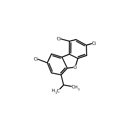 CC(C)c1cc(Cl)cc2c1oc1cc(Cl)cc(Cl)c12